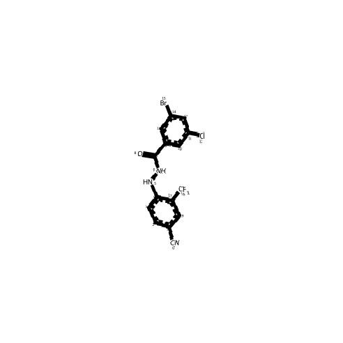 N#Cc1ccc(NNC(=O)c2cc(Cl)cc(Br)c2)c(C(F)(F)F)c1